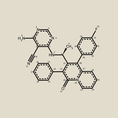 C[C@H](Nc1ncnc(N)c1C#N)c1c(-c2ccccc2)c(=O)n2ccccc2c1-c1ccc(F)cc1